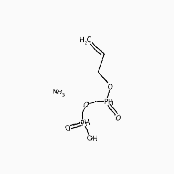 C=CCO[PH](=O)O[PH](=O)O.N